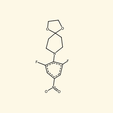 O=[N+]([O-])c1cc(F)c(N2CCC3(CC2)OCCO3)c(F)c1